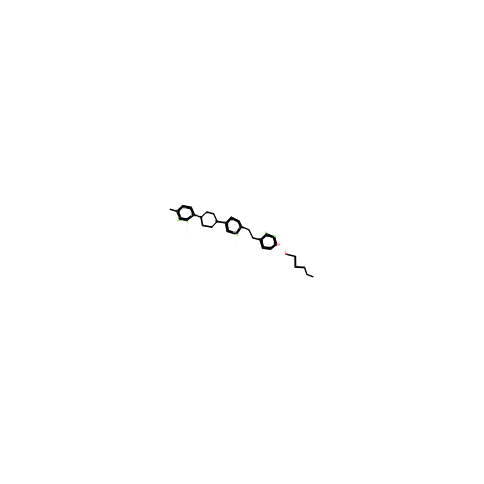 CCCCCCOc1ccc(CCc2ccc(C3CCC(c4ccc(C)c(F)c4F)CC3)cc2F)c(F)c1F